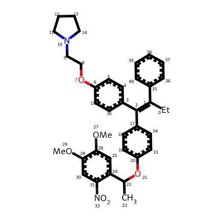 CC/C(=C(/c1ccc(OCCN2CCCC2)cc1)c1ccc(OC(C)c2cc(OC)c(OC)cc2[N+](=O)[O-])cc1)c1ccccc1